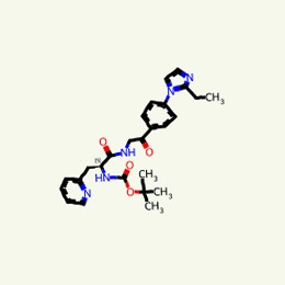 CCc1nccn1-c1ccc(C(=O)CNC(=O)[C@H](Cc2ccccn2)NC(=O)OC(C)(C)C)cc1